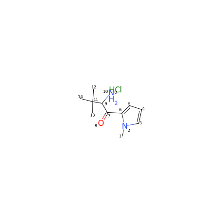 Cl.Cn1cccc1C(=O)C(N)C(C)(C)C